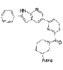 CNC1CCCN(C(=O)c2cccc(-c3cnc4[nH]c(-c5ccccc5)cc4c3)n2)C1